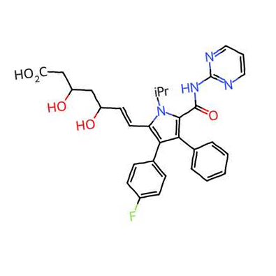 CC(C)n1c(C=CC(O)CC(O)CC(=O)O)c(-c2ccc(F)cc2)c(-c2ccccc2)c1C(=O)Nc1ncccn1